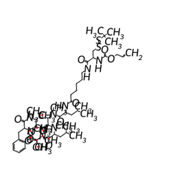 C=CCOC(=O)NC(CSSC(C)(C)C)C(=O)NCCCCCC(=O)NC(CC(C)C)C(=O)N(C)C(C)C(=O)N(C)C(CC(C)C)C(=O)NC(C)C(=O)N(C)C(Cc1ccccc1)C(=O)N(C)C(C)C(=O)NC(C)C(=O)O